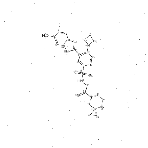 Cc1ccc2cc(-c3cc(S(=O)(=O)NCC(=O)N4CCOC5(CC5)C4)ccc3N3CCC3)[nH]c2c1